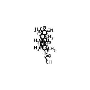 C#CCC(=O)NC[C@@]1(C)CC[C@]2(C)CC[C@@]3(C)[C@]4(C)CC[C@H]5C(C)(C)C(=O)C(C#N)=C[C@]5(C)C4=CC(=O)[C@]3(O)[C@@H]2C1